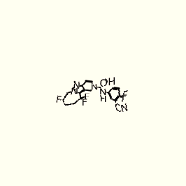 N#Cc1cc(NC(O)N2CCc3nn4c(c3C2)C(F)(F)CC[C@H](F)C4)ccc1F